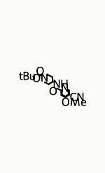 COc1cc(C(=O)NC2CCN(C(=O)OC(C)(C)C)CC2)ncc1C#N